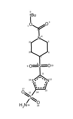 CC(C)(C)OC(=O)N1CCC(S(=O)(=O)c2ncc(S(N)(=O)=O)s2)CC1